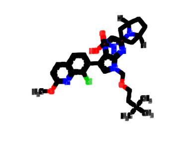 COc1ccc2ccc(-c3cn(COCC[Si](C)(C)C)c4nc(N5[C@@H]6CC[C@H]5C[C@@H](NC(=O)O)C6)cnc34)c(Cl)c2n1